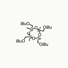 CC(C)COC[Si]1(C)O[Si](C)(COCC(C)C)O[Si](C)(COCC(C)C)O[Si](C)(COCC(C)C)O1